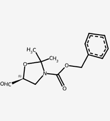 CC1(C)O[C@H](C=O)CN1C(=O)OCc1ccccc1